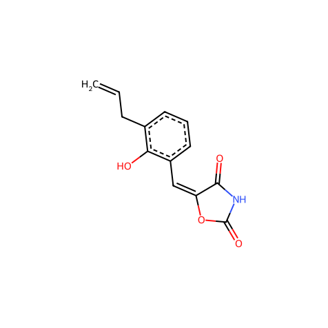 C=CCc1cccc(C=C2OC(=O)NC2=O)c1O